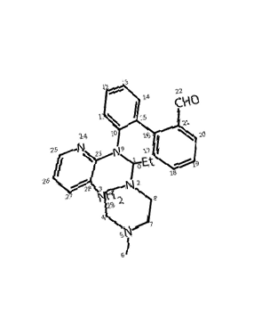 CCC(N1CCN(C)CC1)N(c1ccccc1-c1ccccc1C=O)c1ncccc1N